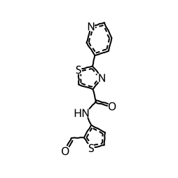 O=Cc1sccc1NC(=O)c1csc(-c2cccnc2)n1